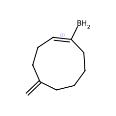 B/C1=C/CCC(=C)CCCC1